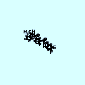 C[C@@H](NS(=O)(=O)c1ccc(F)c(C(=O)NCc2ccc(F)c(F)c2)c1)C1CCCC1